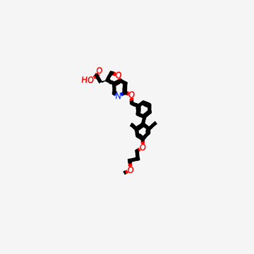 COCCCOc1cc(C)c(-c2cccc(COc3cc4c(cn3)[C@H](CC(=O)O)CO4)c2)c(C)c1